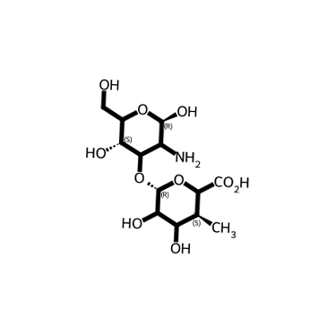 C[C@@H]1C(C(=O)O)O[C@@H](OC2C(N)[C@H](O)OC(CO)[C@H]2O)C(O)C1O